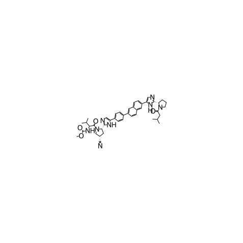 COC(=O)N[C@H](C(=O)N1C[C@@H](C#N)C[C@H]1c1ncc(-c2ccc(-c3ccc4cc(-c5cnc([C@@H]6CCCN6C(=O)CC(C)C)[nH]5)ccc4c3)cc2)[nH]1)C(C)C